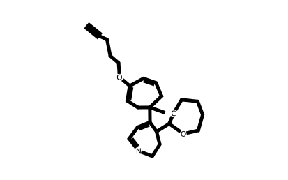 C#CCCCOC1=CCC(C)(C2=CC=NCCC2C2CCCCCO2)CC=C1